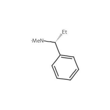 CC[C@@H]([N]C)c1ccccc1